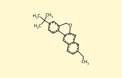 CCc1ccc2cc3c(cc2c1)OCc1cc(C(C)(C)C)ccc1-3